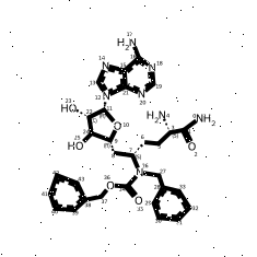 NC(=O)[C@@H](N)CC[C@@H](C[C@H]1O[C@@H](n2cnc3c(N)ncnc32)[C@@H](O)C1O)N(Cc1ccccc1)C(=O)OCc1ccccc1